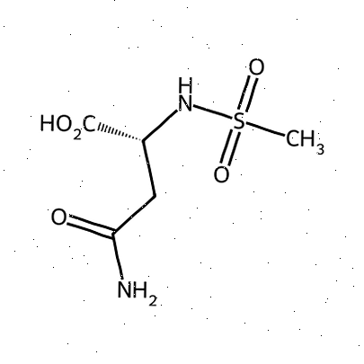 CS(=O)(=O)N[C@H](CC(N)=O)C(=O)O